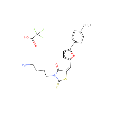 NCCCCN1C(=O)/C(=C\c2ccc(-c3ccc(C(=O)O)cc3)o2)SC1=S.O=C(O)C(F)(F)F